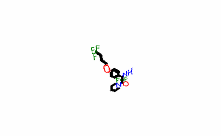 N=C(c1ccc(OCCCC(F)(F)F)cc1)C(F)(F)C(=O)N1CCCCC1